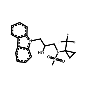 CS(=O)(=O)N(CC(O)Cn1c2ccccc2c2ccccc21)C1(C(F)(F)F)CC1